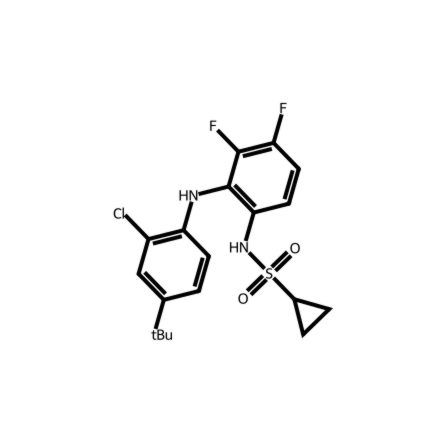 CC(C)(C)c1ccc(Nc2c(NS(=O)(=O)C3CC3)ccc(F)c2F)c(Cl)c1